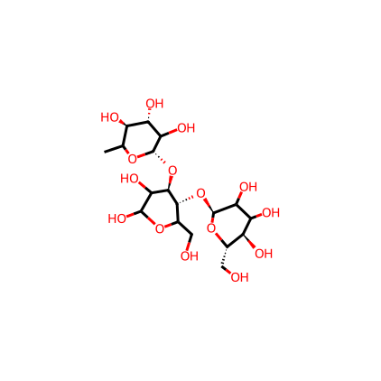 CC1O[C@@H](O[C@@H]2C(O)C(O)OC(CO)[C@H]2O[C@@H]2O[C@@H](CO)[C@H](O)C(O)C2O)C(O)[C@@H](O)[C@@H]1O